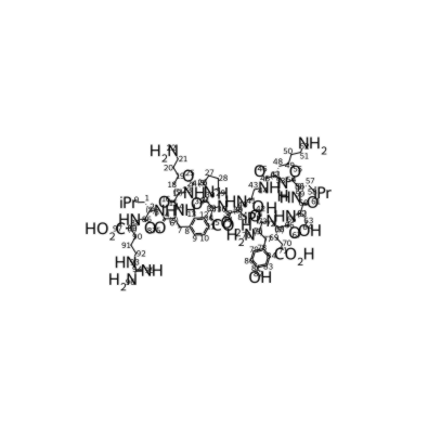 CC(C)C[C@H](NC(=O)[C@H](Cc1ccccc1)NC(=O)[C@H](CCCCN)NC(=O)[C@@H]1CCCN1C(=O)[C@H](CC(=O)O)NC(=O)[C@@H](NC(=O)CNC(=O)[C@H](CCCCN)NC(=O)[C@H](CC(C)C)NC(=O)[C@H](CO)NC(=O)[C@H](CCC(=O)O)NC(=O)[C@@H](N)Cc1ccc(O)cc1)C(C)C)C(=O)N[C@@H](CCCNC(=N)N)C(=O)O